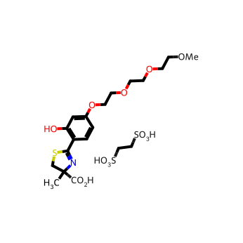 COCCOCCOCCOc1ccc(C2=NC(C)(C(=O)O)CS2)c(O)c1.O=S(=O)(O)CCS(=O)(=O)O